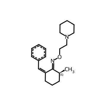 C[C@H]1CCCC(=Cc2ccccc2)C1=NOCCN1CCCCC1